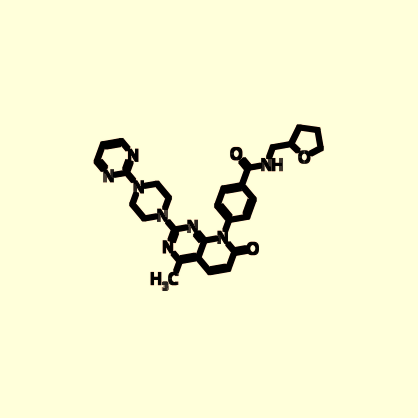 Cc1nc(N2CCN(c3ncccn3)CC2)nc2c1ccc(=O)n2-c1ccc(C(=O)NCC2CCCO2)cc1